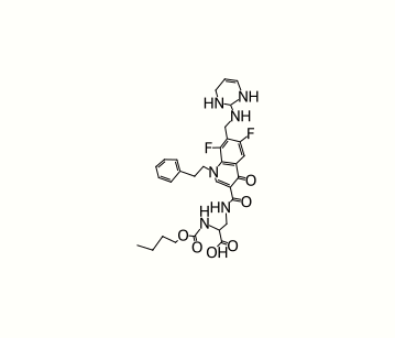 CCCCOC(=O)NC(CNC(=O)c1cn(CCc2ccccc2)c2c(F)c(CNC3NC=CCN3)c(F)cc2c1=O)C(=O)O